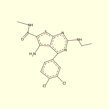 CCNc1nc(-c2ccc(Cl)c(Cl)c2)c2c(N)c(C(=O)NC)sc2n1